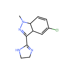 CN1N=C(C2=NCCN2)C2C=C(Cl)C=CC21